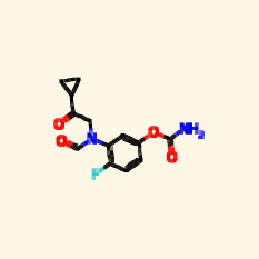 NC(=O)Oc1ccc(F)c(N(C=O)CC(=O)C2CC2)c1